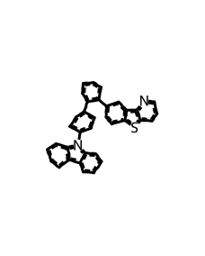 c1ccc(-c2ccc3sc4cccnc4c3c2)c(-c2ccc(-n3c4ccccc4c4ccccc43)cc2)c1